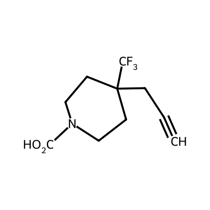 C#CCC1(C(F)(F)F)CCN(C(=O)O)CC1